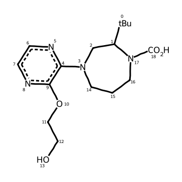 CC(C)(C)C1CN(c2nccnc2OCCO)CCCN1C(=O)O